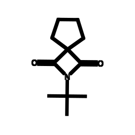 CC(C)(C)N1C(=O)C2(CCCC2)C1=O